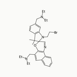 CCN(CC)Cc1ccc2c(c1)N(CCBr)C1(C=Nc3c(c(CN(CC)CC)cc4ccccc34)O1)C2(C)C